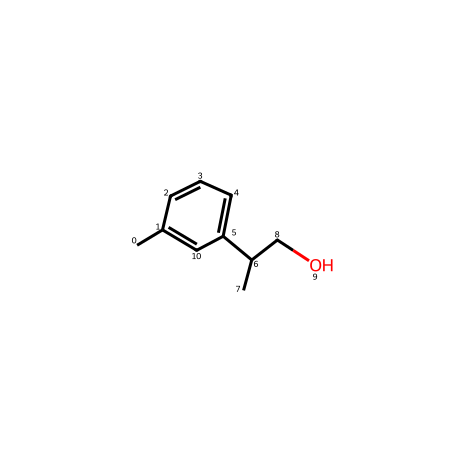 Cc1cccc(C(C)CO)c1